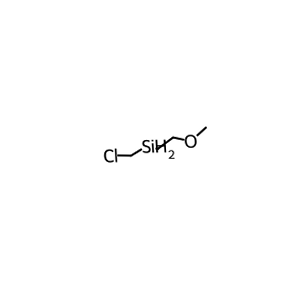 COCC[SiH2]CCl